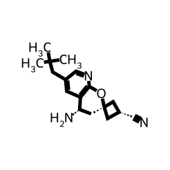 CC(C)(C)Cc1cnc2c(c1)[C@@H](N)C[C@]1(C[C@@H](C#N)C1)O2